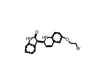 O=C1Nc2ccccc2C1=C1C=Cc2cc(OCCBr)ccc2N1